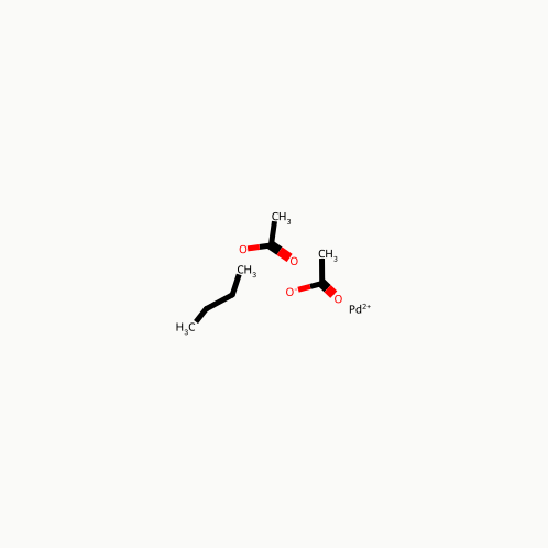 CC(=O)[O-].CC(=O)[O-].CCCC.[Pd+2]